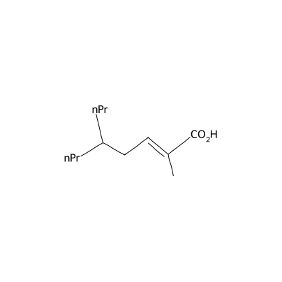 CCCC(C/C=C(\C)C(=O)O)CCC